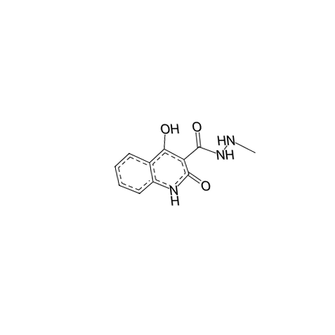 CNNC(=O)c1c(O)c2ccccc2[nH]c1=O